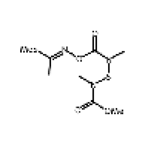 COC(=O)N(C)SN(C)C(=O)ON=C(C)SC